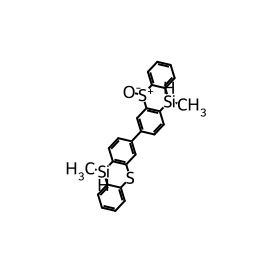 C[Si@H]1c2ccccc2Sc2cc(-c3ccc4c(c3)[S+]([O-])c3ccccc3[Si@H]4C)ccc21